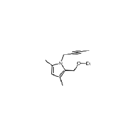 CC#CCn1c(C)cc(C)c1COCC